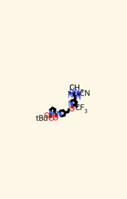 Cn1cnc2c(-c3cnc(OCCC4CCN(C(=O)[C@@H]5CCCN5C(=O)OC(C)(C)C)CC4)c(C(F)(F)F)c3)nc(C#N)nc21